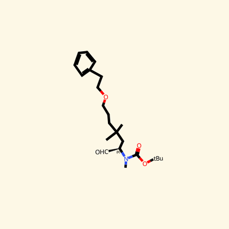 CN(C(=O)OC(C)(C)C)[C@@H](C=O)CC(C)(C)CCCOCCc1ccccc1